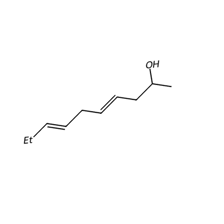 CCC=CCC=CCC(C)O